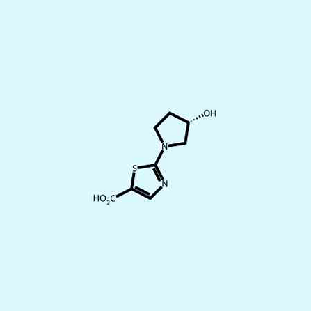 O=C(O)c1cnc(N2CC[C@H](O)C2)s1